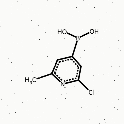 Cc1cc(B(O)O)cc(Cl)n1